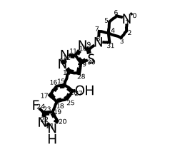 CN1CCC2(CC1)CN(c1nc3nnc(-c4ccc(-c5c[nH]nc5F)cc4O)cc3s1)C2